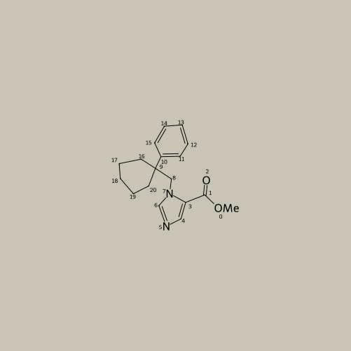 COC(=O)c1cncn1CC1(c2ccccc2)CCCCC1